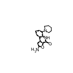 Nc1cc2c(o1)c(=O)[nH]c1c(N3CCCCC3)cccc12